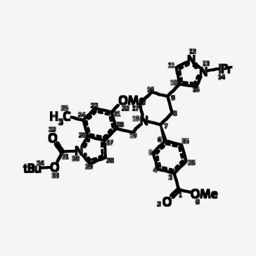 COC(=O)c1ccc([C@@H]2CC(c3cnn(C(C)C)c3)CCN2Cc2c(OC)cc(C)c3c2ccn3C(=O)OC(C)(C)C)cc1